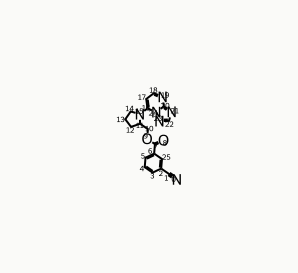 N#Cc1cccc(C(=O)OCC2CCCN2c2ccnc3ncnn23)c1